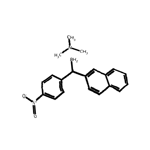 BC(c1ccc([N+](=O)[O-])cc1)c1ccc2ccccc2c1.CN(C)C